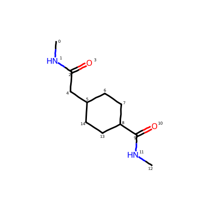 CNC(=O)CC1CCC(C(=O)NC)CC1